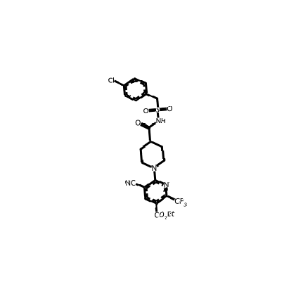 CCOC(=O)c1cc(C#N)c(N2CCC(C(=O)NS(=O)(=O)Cc3ccc(Cl)cc3)CC2)nc1C(F)(F)F